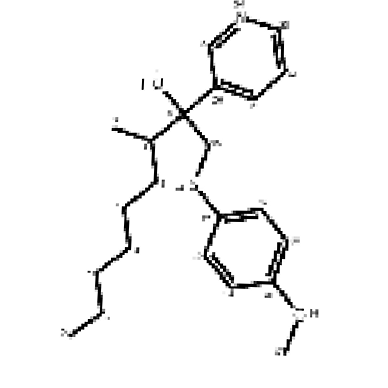 CCCCCCC(C)C(O)(CSc1ccc(OC)cc1)c1cccnc1